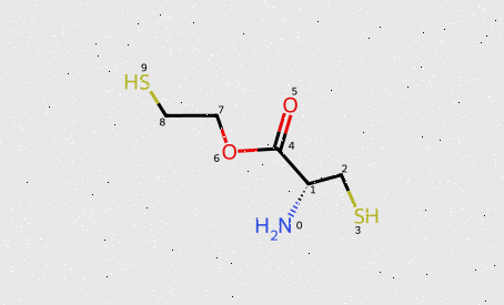 N[C@@H](CS)C(=O)OCCS